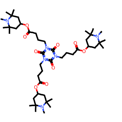 CN1C(C)(C)CC(OC(=O)CCCn2c(=O)n(CCCC(=O)OC3CC(C)(C)N(C)C(C)(C)C3)c(=O)n(CCCC(=O)OC3CC(C)(C)N(C)C(C)(C)C3)c2=O)CC1(C)C